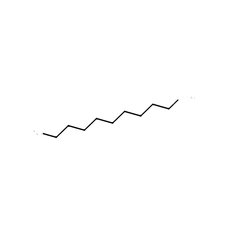 CCCCCCCCCCCCC[CH2][Na]